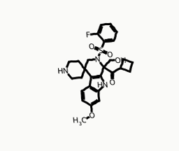 COc1ccc2c3c([nH]c2c1)C(CO)(C(=O)C1CCC1)N(S(=O)(=O)c1ccccc1F)CC31CCNCC1